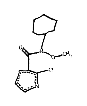 CON(C(=O)c1cccnc1Cl)C1CCCCC1